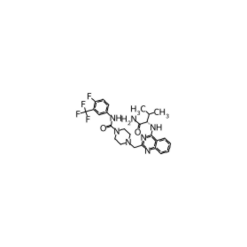 CC(C)[C@H](Nc1nc(CN2CCN(C(=O)Nc3ccc(F)c(C(F)(F)F)c3)CC2)nc2ccccc12)C(N)=O